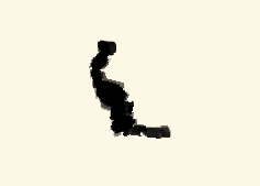 CCCCCc1ccc(OC(=O)c2ccc(OCCCCC3CO3)cc2)cc1